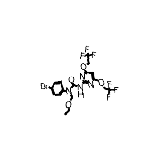 CCOCN(C(=O)Nc1nc(OCC(F)(F)F)cc(OCC(F)(F)F)n1)c1ccc(Br)cc1